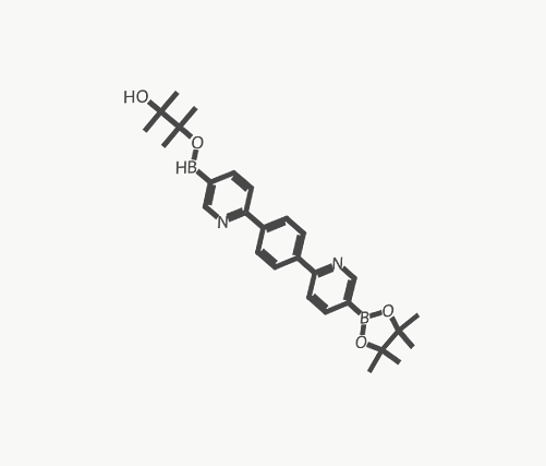 CC(C)(O)C(C)(C)OBc1ccc(-c2ccc(-c3ccc(B4OC(C)(C)C(C)(C)O4)cn3)cc2)nc1